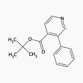 CC(C)(C)OC(=O)c1ccn[c]c1-c1ccccc1